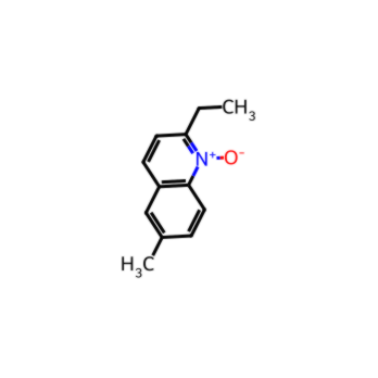 CCc1ccc2cc(C)ccc2[n+]1[O-]